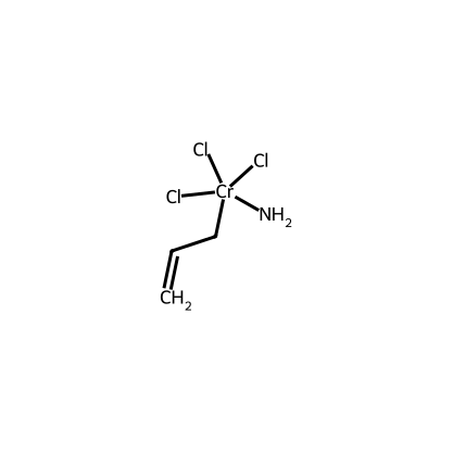 C=C[CH2][Cr]([NH2])([Cl])([Cl])[Cl]